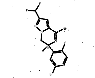 C[C@@]1(c2cc(Br)ccc2F)Cn2nc(C(F)F)cc2C(N)=N1